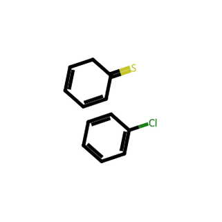 Clc1ccccc1.S=C1C=CC=CC1